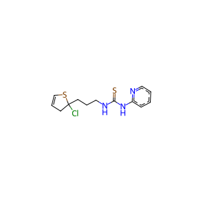 S=C(NCCCC1(Cl)CC=CS1)Nc1ccccn1